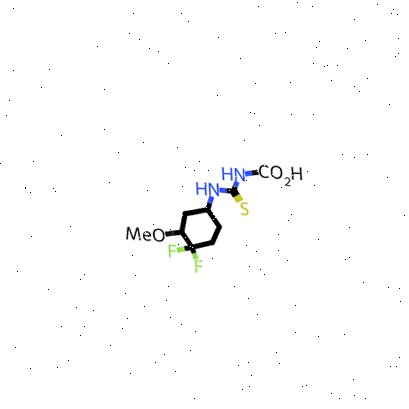 COC1CC(NC(=S)NC(=O)O)CCC1(F)F